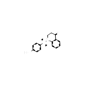 O=C1CCN(S(=O)(=O)c2ccc(O)cc2)c2ccccc21